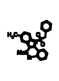 CSc1c(-c2ccccc2Br)n(S(=O)(=O)Cc2ccccc2)c2ccc(C)cc12